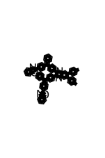 Cc1ccc(-c2cc3nc(-c4ccc(N(c5ccccc5)c5ccc(-c6nc7ccccc7o6)cc5)cc4)c(-c4ccc(N(c5ccccc5)c5ccc(-c6nc7ccccc7o6)cc5)cc4)nc3cc2-c2ccc(C)cc2)cc1